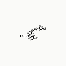 CC(C)c1ccc(OC(C(=O)O)c2ccc(OCCCOc3ccc(Cl)cc3)cc2)cc1